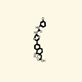 CC1(CC(=O)O)CCc2cc(-c3cnc(NC(=O)Nc4cccc(Cl)c4)cn3)ccc2C1=O